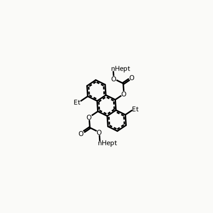 CCCCCCCOC(=O)Oc1c2cccc(CC)c2c(OC(=O)OCCCCCCC)c2cccc(CC)c12